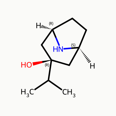 CC(C)[C@]1(O)C[C@H]2CC[C@@H](C1)N2